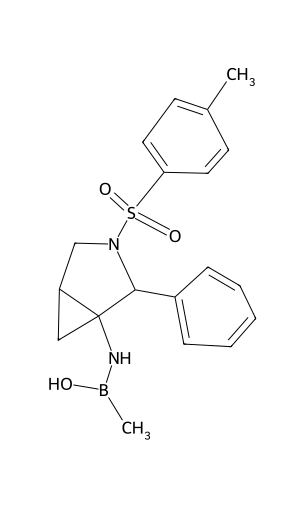 CB(O)NC12CC1CN(S(=O)(=O)c1ccc(C)cc1)C2c1ccccc1